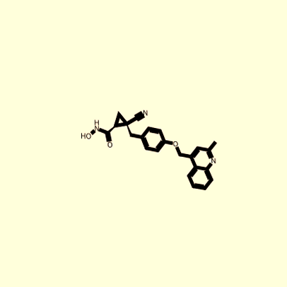 Cc1cc(COc2ccc(C[C@]3(C#N)C[C@@H]3C(=O)NO)cc2)c2ccccc2n1